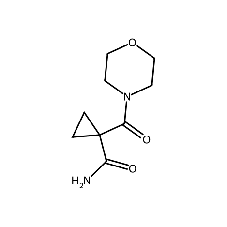 NC(=O)C1(C(=O)N2CCOCC2)CC1